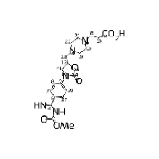 COC(=O)NC(=N)c1ccc(N2CC(CN3CCN(CCC(=O)O)CC3)OC2=O)cc1